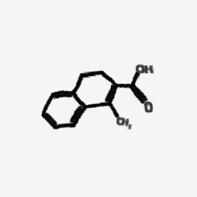 CC1=C(C(=O)O)CCc2ccccc21